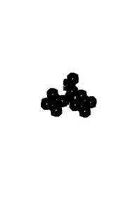 c1ccc2c(c1)-c1ccccc1C21c2ccccc2-c2cc(N(c3ccc4c(c3)C3(c5ccccc5-c5ccccc53)c3ccccc3-4)c3ccc4c(c3)sc3ccccc34)ccc21